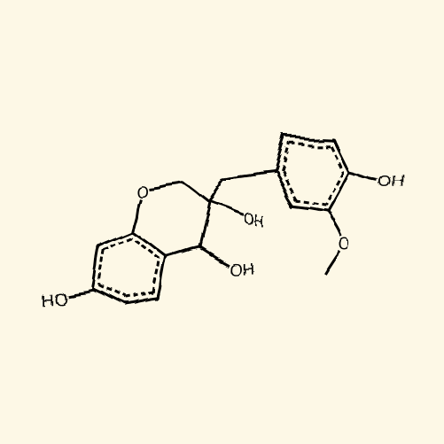 COc1cc(CC2(O)COc3cc(O)ccc3C2O)ccc1O